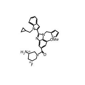 COc1cc(C(=O)N2C[C@H](N)C[C@@H](F)C2)cc2nc(-c3cc4ccccc4n3CC3CC3)n(Cc3cccs3)c12